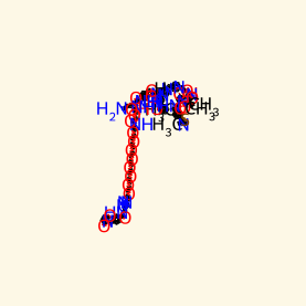 Cc1ncsc1-c1ccc([C@H](C)NC(=O)[C@@H]2C[C@@H](O)CN2C(=O)[C@@H](c2cc(OCCN3CCC(CN4CCN5c6cc(-c7ccccc7O)nnc6N(C(=O)OCc6ccc(NC(=O)[C@@H](CCCCN)NC(=O)COCC(=O)NCCOCCOCCOCCOCCOCCOCCOCCOCCn7cc(CNC(=O)C8CCC(CN9C(=O)C=CC9=O)CC8)nn7)cc6)C[C@H]5C4)CC3)no2)C(C)C)cc1